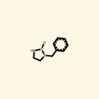 [O-][S+]1NCCN1Cc1ccccc1